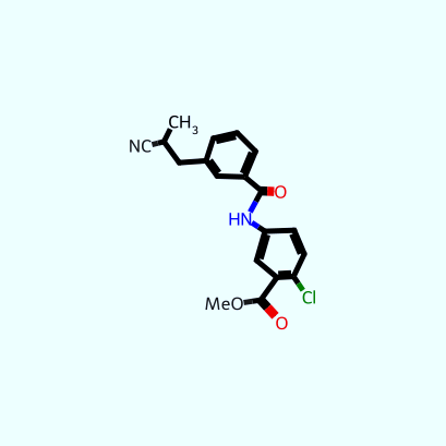 COC(=O)c1cc(NC(=O)c2cccc(CC(C)C#N)c2)ccc1Cl